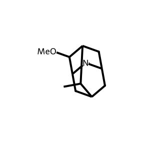 COC1C2CC3CC(CC1C3C)[N]2